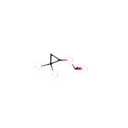 O=COC1CC1(Cl)Cl